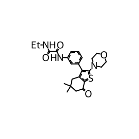 CCNC(=O)C(=O)Nc1cccc(-c2c(N3CCOCC3)sc3c2CC(C)(C)CC3=O)c1